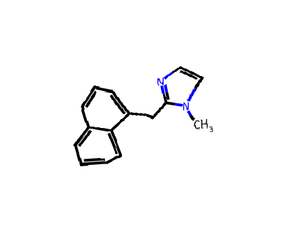 Cn1ccnc1Cc1cccc2ccccc12